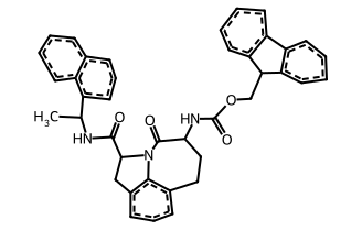 CC(NC(=O)C1Cc2cccc3c2N1C(=O)C(NC(=O)OCC1c2ccccc2-c2ccccc21)CC3)c1cccc2ccccc12